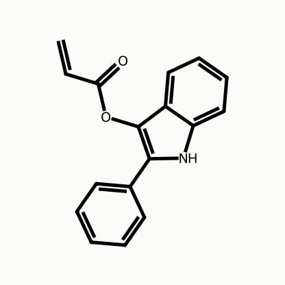 C=CC(=O)Oc1c(-c2ccccc2)[nH]c2ccccc12